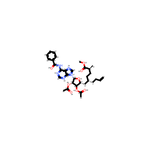 C=CCC[C@@H](CC[C@H](C)C(=O)OC)C[C@H]1O[C@@H](n2cnc3c(NC(=O)c4ccccc4)ncnc32)[C@@H](OC(C)=O)C1OC(C)=O